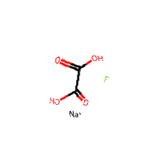 O=C(O)C(=O)O.[F-].[Na+]